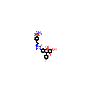 NS(=O)(=O)c1ccc(CCNC(=S)Nc2ccc(-c3c4ccc(=O)cc-4oc4cc(O)ccc34)c(C(=O)O)c2)cc1